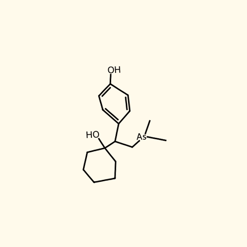 C[As](C)CC(c1ccc(O)cc1)C1(O)CCCCC1